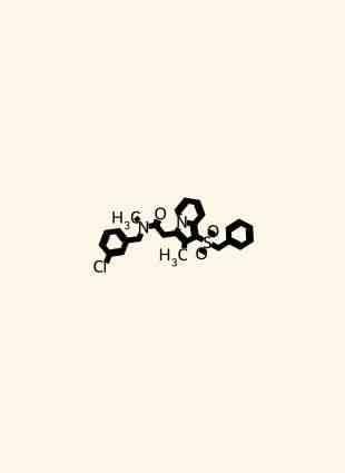 Cc1c(S(=O)(=O)Cc2ccccc2)c2ccccn2c1CC(=O)N(C)Cc1cccc(Cl)c1